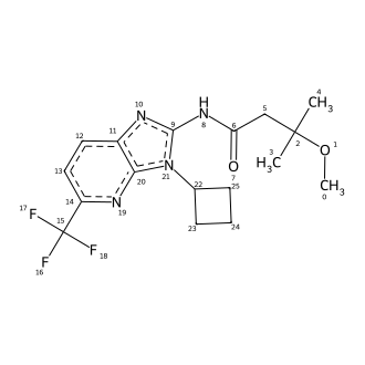 COC(C)(C)CC(=O)Nc1nc2ccc(C(F)(F)F)nc2n1C1CCC1